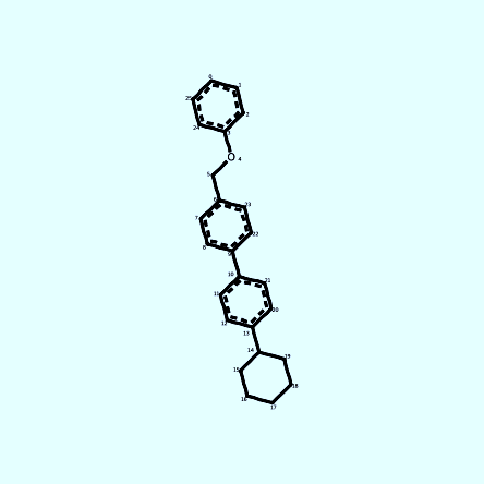 c1ccc(OCc2ccc(-c3ccc(C4CCCCC4)cc3)cc2)cc1